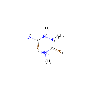 CNC(=S)N(C)N(C)C(N)=S